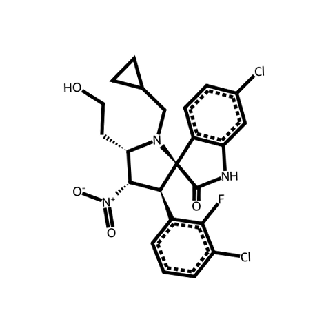 O=C1Nc2cc(Cl)ccc2[C@@]12[C@@H](c1cccc(Cl)c1F)[C@H]([N+](=O)[O-])[C@H](CCO)N2CC1CC1